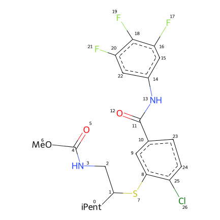 CCCC(C)C(CNC(=O)OC)Sc1cc(C(=O)Nc2cc(F)c(F)c(F)c2)ccc1Cl